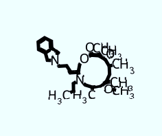 CCCN1CC(C)CC(C)(OC)CC(C)C(=O)C(C)(C)C(=O)OCC1CCCN1Cc2ccccc2C1